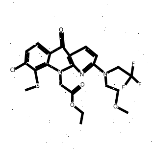 CCOC(=O)Cn1c2nc(N(CCOC)CC(F)(F)F)ccc2c(=O)c2ccc(Cl)c(SC)c21